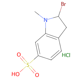 CN1c2cc(S(=O)(=O)O)ccc2CC1Br.Cl